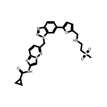 CS(=O)(=O)CCNCc1ccc(-c2ccc3nnn(Cc4ccc5nc(NC(=O)C6CC6)cn5n4)c3c2)o1